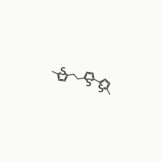 Cc1ccc(CCc2ccc(-c3ccc(C)s3)s2)s1